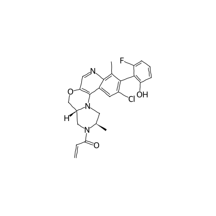 C=CC(=O)N1C[C@@H]2COc3cnc4c(C)c(-c5c(O)cccc5F)c(Cl)cc4c3N2C[C@H]1C